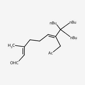 CCCCC(CCCC)(CCCC)C(=CCCC(C)=CC=O)CC(C)=O